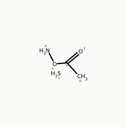 CC(=O)ON.S